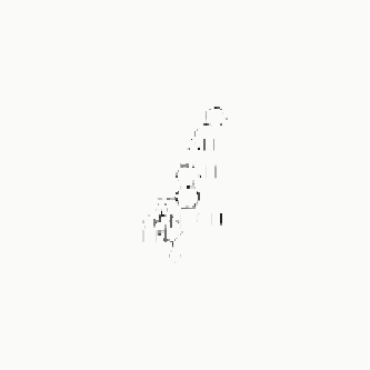 O=C1CN(c2c(O)cc3c(c2F)C[C@H](CNCC2CCCC2)N3)S(=O)(=O)N1